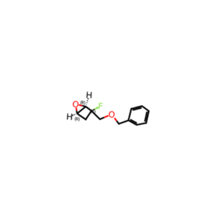 F[C@@]1(COCc2ccccc2)C[C@H]2O[C@H]21